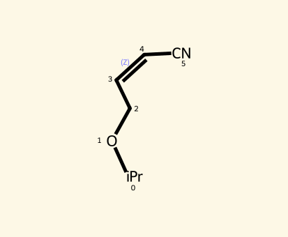 CC(C)OC/C=C\C#N